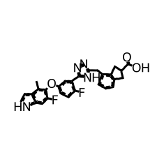 Cc1c(Oc2ccc(F)c(-c3nnc(Cc4cccc5c4CC(C(=O)O)C5)[nH]3)c2)c(F)cc2[nH]ccc12